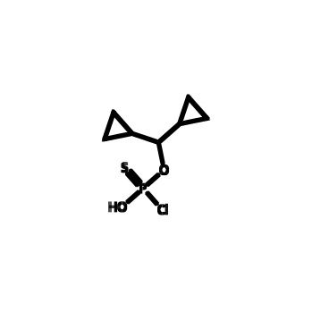 OP(=S)(Cl)OC(C1CC1)C1CC1